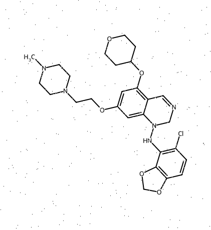 CN1CCN(CCOc2cc(OC3CCOCC3)c3c(c2)N(Nc2c(Cl)ccc4c2OCO4)CN=C3)CC1